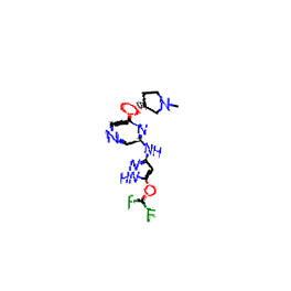 CN1CC[C@@H](Oc2cncc(Nc3cc(OC(F)F)[nH]n3)n2)C1